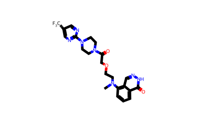 CN(CCOCC(=O)N1CCN(c2ncc(C(F)(F)F)cn2)CC1)c1cccc2c(=O)[nH]ncc12